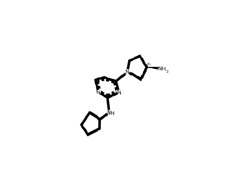 N[C@@H]1CCN(c2ccnc(NC3CCCC3)n2)C1